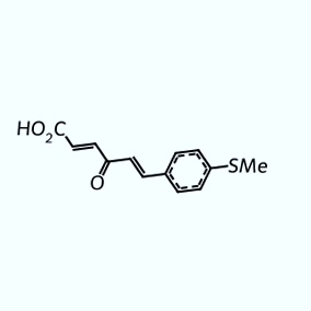 CSc1ccc(C=CC(=O)C=CC(=O)O)cc1